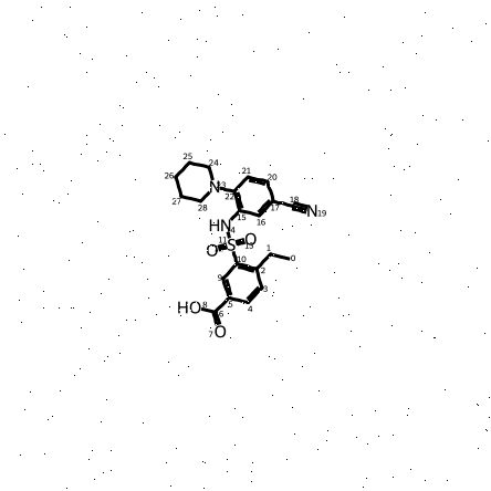 CCc1ccc(C(=O)O)cc1S(=O)(=O)Nc1cc(C#N)ccc1N1CCCCC1